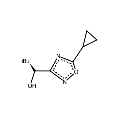 CC[C@H](C)C(O)c1noc(C2CC2)n1